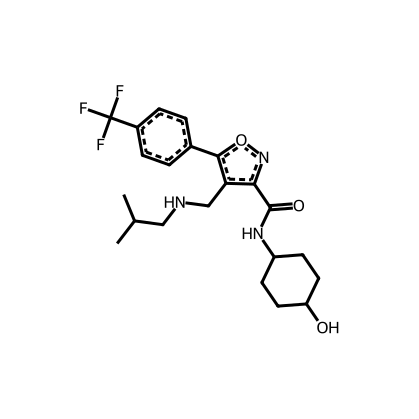 CC(C)CNCc1c(C(=O)NC2CCC(O)CC2)noc1-c1ccc(C(F)(F)F)cc1